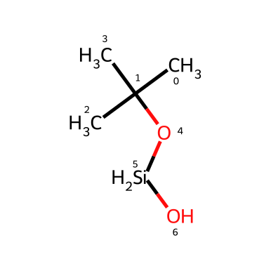 CC(C)(C)O[SiH2]O